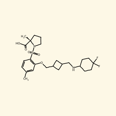 Cc1ccc(S(=O)(=O)N2CCC[C@@]2(C)C(=O)O)c(OCC2CC(CNC3CCC(F)(F)CC3)C2)c1